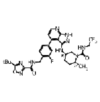 C[C@H]1CC[C@@H](Nc2n[nH]c3nccc(-c4ccc(CNC(=O)c5noc(C(C)(C)C)n5)c(F)c4)c23)CN1C(=O)NCC(F)(F)F